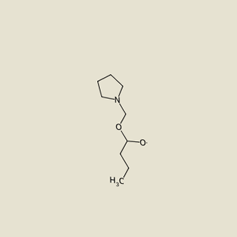 CCCC([O])OCN1CCCC1